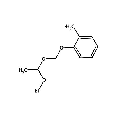 [CH2]c1ccccc1OCOC(C)OCC